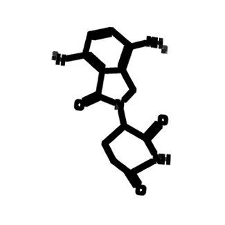 [2H]c1ccc(N)c2c1C(=O)N(C1CCC(=O)NC1=O)C2